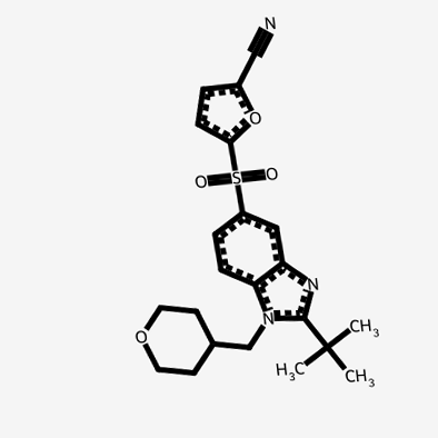 CC(C)(C)c1nc2cc(S(=O)(=O)c3ccc(C#N)o3)ccc2n1CC1CCOCC1